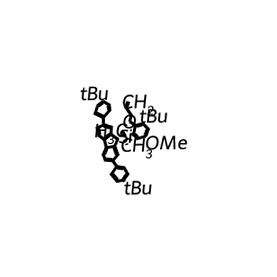 C=CCOc1c(C(C)(C)C)cc(OC)cc1[Si](C)(C)C1c2cc(-c3ccc(C(C)(C)C)cc3)ccc2-c2ccc(-c3ccc(C(C)(C)C)cc3)cc21